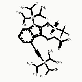 CC(C)[Si](C#Cc1cccc2c1c(CCC(=O)O)c(NS(=O)(=O)C(F)(F)F)n2[Si](C(C)C)(C(C)C)C(C)C)(C(C)C)C(C)C